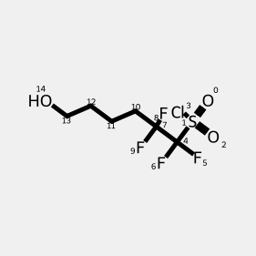 O=S(=O)(Cl)C(F)(F)C(F)(F)CCCCO